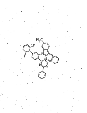 Cc1ccc2c3ccccc3n(-c3cc(-c4c(F)cccc4F)ccc3-c3nc(-c4ccccc4)nc(-c4ccccc4)n3)c2c1